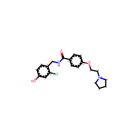 O=C(NCc1ccc(O)cc1Cl)c1ccc(OCCN2CCCC2)cc1